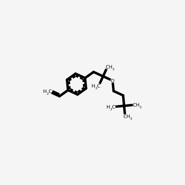 C=Cc1ccc(CC(C)(C)OCCC(C)(C)C)cc1